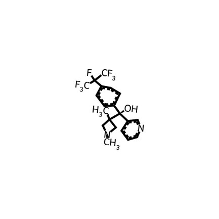 CN1CC(C)([C@](O)(c2ccc(C(F)(C(F)(F)F)C(F)(F)F)cc2)c2cccnc2)C1